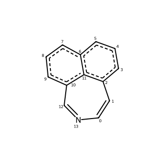 C1=Cc2cccc3cccc(c23)C=N1